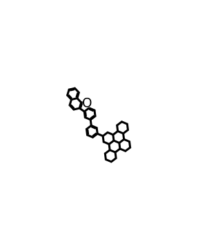 c1cc(-c2ccc3oc4c5ccccc5ccc4c3c2)cc(C2CC3C4CCCCC4C4CCCC5C6CCCCC6C(C2)C3C45)c1